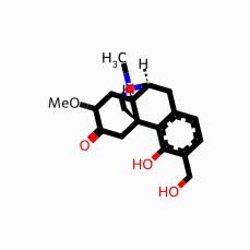 COC1C[C@@H]2[C@@H]3Cc4ccc(CO)c(O)c4[C@]2(CCN3C)CC1=O